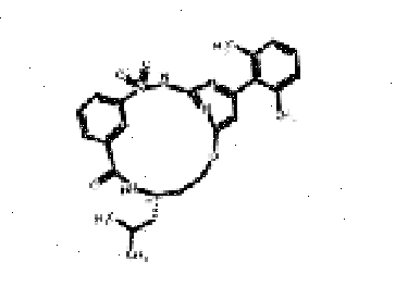 Cc1cccc(C)c1-c1cc2nc(n1)NS(=O)(=O)c1cccc(c1)C(=O)N[C@@H](CC(C)C)CCO2